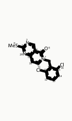 CSc1ncc2c(=O)n(Cc3c(Cl)cccc3Cl)ccc2n1